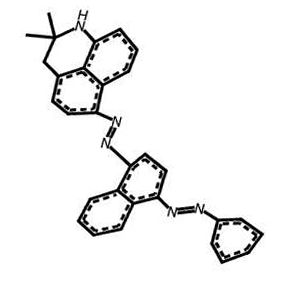 CC1(C)Cc2ccc(N=Nc3ccc(N=Nc4ccccc4)c4ccccc34)c3cccc(c23)N1